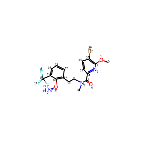 COc1nc(C(=O)N(C)CCc2cccc(C(F)(F)F)c2ON)ccc1Br